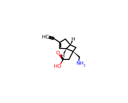 C#CC1=C[C@@H]2[C@H](C1)C[C@]2(CN)CC(=O)O